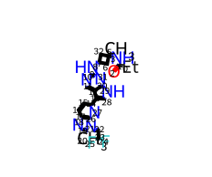 CCC(=O)NC1(C)CC(Nc2ncc3c(-c4ccc5nc(C)n(CC(F)F)c5n4)c[nH]c3n2)C1